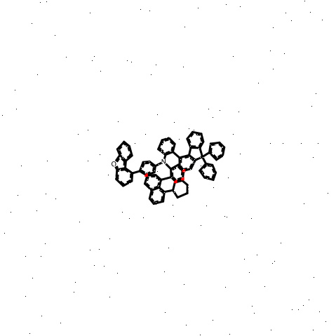 c1ccc(C2(c3ccccc3)c3ccccc3-c3c(-c4ccccc4N(c4ccc(-c5cccc6oc7ccccc7c56)cc4)c4ccccc4-c4cccc5cccc(C6CCCCC6)c45)cccc32)cc1